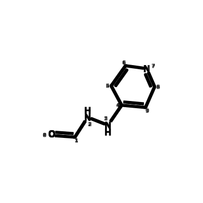 O=CNNc1ccncc1